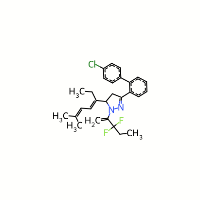 C=C(N1N=C(c2ccccc2-c2ccc(Cl)cc2)CC1/C(=C/C=C(C)C)CC)C(F)(F)CC